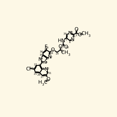 COC(=O)c1ncc(NC(=O)OC(C)COc2nc3sc(-c4cc(Cl)cc5cc(OC)cnc45)nc3cc2F)cn1